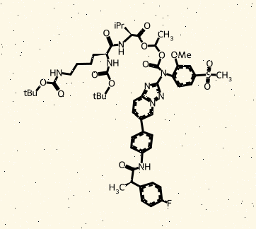 COc1cc(S(C)(=O)=O)ccc1N(C(=O)OC(C)OC(=O)[C@@H](NC(=O)[C@H](CCCCNC(=O)OC(C)(C)C)NC(=O)OC(C)(C)C)C(C)C)c1nc2ccc(-c3ccc(NC(=O)[C@H](C)c4ccc(F)cc4)cc3)cn2n1